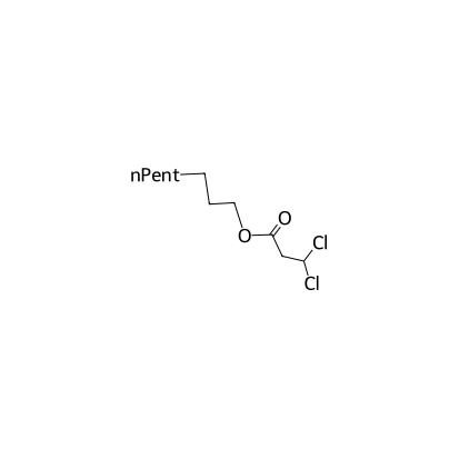 CCCCCCCCOC(=O)CC(Cl)Cl